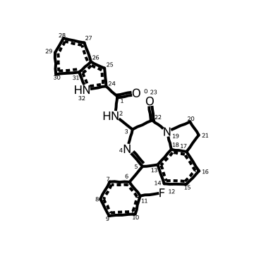 O=C(NC1N=C(c2ccccc2F)c2cccc3c2N(CC3)C1=O)c1cc2ccccc2[nH]1